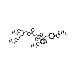 CCCCC(CC)COC(=O)CCS(=O)(=O)c1c(C)cnn1Cc1ccc(OC)cc1